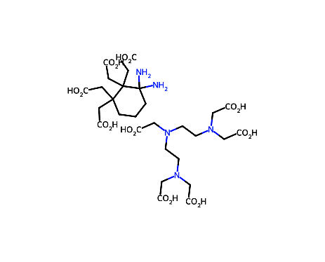 NC1(N)CCCC(CC(=O)O)(CC(=O)O)C1(CC(=O)O)CC(=O)O.O=C(O)CN(CCN(CC(=O)O)CC(=O)O)CCN(CC(=O)O)CC(=O)O